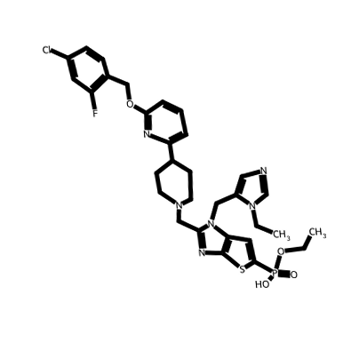 CCOP(=O)(O)c1cc2c(nc(CN3CCC(c4cccc(OCc5ccc(Cl)cc5F)n4)CC3)n2Cc2cncn2CC)s1